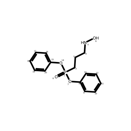 O=P(CCCNO)(Oc1ccccc1)Oc1ccccc1